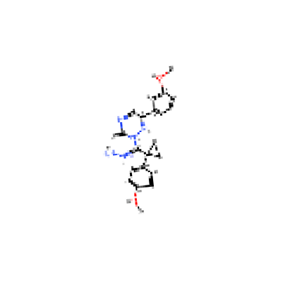 C=C1N=CC(c2cccc(OC)c2)=NN1/C(=N\N)C1(c2ccc(OC)cc2)CC1